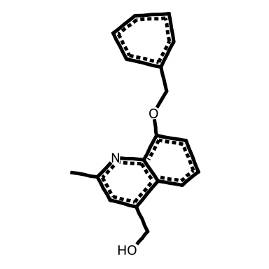 Cc1cc(CO)c2cccc(OCc3ccccc3)c2n1